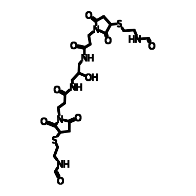 O=CNCCSC1CC(=O)N(CCC(=O)NCC(O)CNC(=O)CCN2C(=O)CC(SCCNC=O)C2=O)C1=O